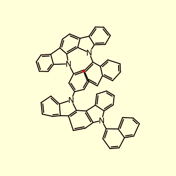 c1cc(-n2c3ccccc3c3ccc4c(c5ccccc5n4-c4cccc5ccccc45)c32)cc(-n2c3ccccc3c3ccc4c5ccccc5n(-c5cccc6ccccc56)c4c32)c1